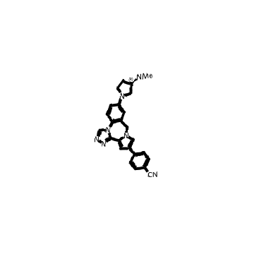 CN[C@@H]1CCN(c2ccc3c(c2)Cn2cc(-c4ccc(C#N)cc4)cc2-c2nncn2-3)C1